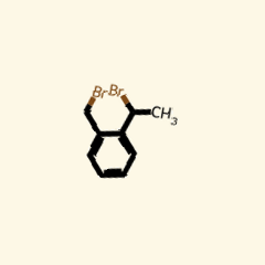 CC(Br)c1ccccc1CBr